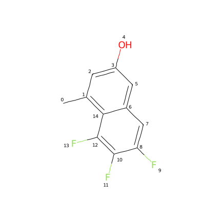 Cc1cc(O)cc2cc(F)c(F)c(F)c12